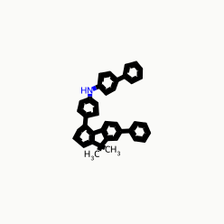 CC1(C)c2cc(-c3ccccc3)ccc2-c2c(-c3ccc(Nc4ccc(-c5ccccc5)cc4)cc3)cccc21